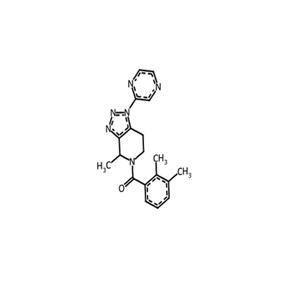 Cc1cccc(C(=O)N2CCc3c(nnn3-c3cnccn3)C2C)c1C